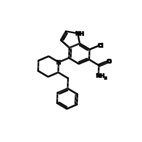 NC(=O)c1cc(N2CCCCC2Cc2ccccc2)c2cc[nH]c2c1Cl